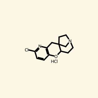 Cl.Clc1ccc2c(n1)CC13CCN(CCC1O2)C3